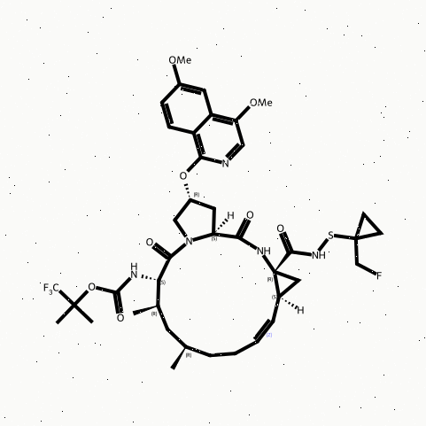 COc1ccc2c(O[C@@H]3C[C@H]4C(=O)N[C@]5(C(=O)NSC6(CF)CC6)C[C@H]5/C=C\CC[C@@H](C)C[C@@H](C)[C@H](NC(=O)OC(C)(C)C(F)(F)F)C(=O)N4C3)ncc(OC)c2c1